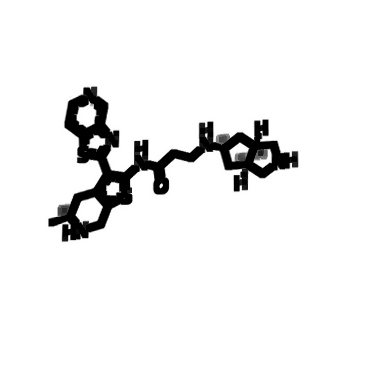 C[C@H]1Cc2c(sc(NC(=O)CCN[C@H]3C[C@H]4CNC[C@H]4C3)c2-c2nc3cnccc3s2)CN1